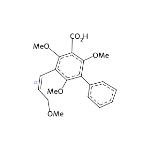 COC/C=C\c1c(OC)c(C(=O)O)c(OC)c(-c2ccccc2)c1OC